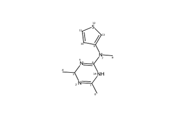 CC1=NC(C)N=C(N(C)c2ccsc2)N1